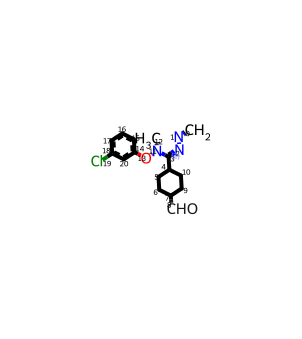 C=N/N=C(/C1CCC(C=O)CC1)N(C)Oc1cccc(Cl)c1